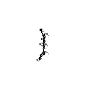 CCn1c(C#CCNc2ccccc2)nc2cc(CNC3CCN(CNC(C)(C)c4ccc(NCC#Cc5cc6c(CN7CCC(N8CCC(N)CC8)CC7)cccc6n5CC)cn4)CC3)ccc21